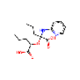 CCCC(OC(CCC)(Nc1ccccn1)C(=O)O)C(=O)O